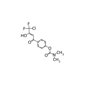 CN(C)C(=O)Oc1ccc(C(=O)C=C(O)C(F)(F)Cl)cc1